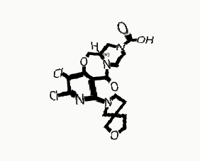 O=C(O)N1CCN2C(=O)c3c(N4CCC5(CCOC5)C4)nc(Cl)c(Cl)c3OC[C@H]2C1